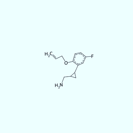 C=CCOc1ccc(F)cc1C1CC1CN